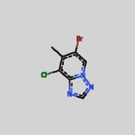 Cc1c(Br)cn2ncnc2c1Cl